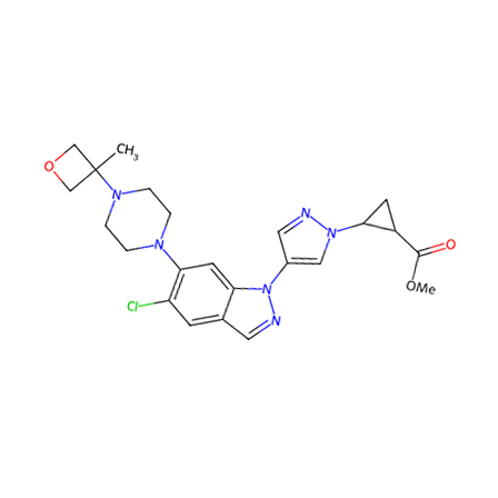 COC(=O)C1CC1n1cc(-n2ncc3cc(Cl)c(N4CCN(C5(C)COC5)CC4)cc32)cn1